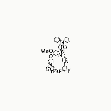 COc1cc2c(OC(=O)N(c3ccccc3)c3ccccc3)nc(Cc3ccc(-c4cc(F)cc(F)c4)nc3)nc2cc1OC1CCN(C(=O)OC(C)(C)C)CC1